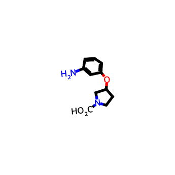 Nc1cccc(OC2CCN(C(=O)O)C2)c1